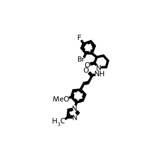 COc1cc(C=CC(=O)NN2CCCC(c3ccc(F)cc3Br)C2=O)ccc1-n1cnc(C)c1